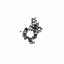 C[C@@H]1C[C@H]2C(=O)OC[C@H](NC(=O)[C@H](Cc3ccccc3)NC(=O)Nc3ccccc3)C(=O)N3CCC[C@H]3C(=O)N(C)[C@@H](CCO)C(=O)N[C@@H](C)C(=O)N2C1